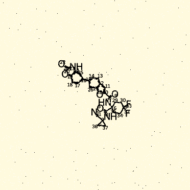 N#CC1(NC(=O)C2(NC(=O)c3cc4ccc(-c5ccc6oc(=O)[nH]c6c5)cc4o3)CCC(F)(F)CC2)CC1